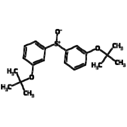 CC(C)(C)Oc1cccc([S+]([O-])c2cccc(OC(C)(C)C)c2)c1